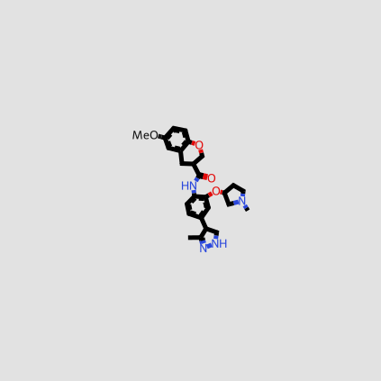 COc1ccc2c(c1)CC(C(=O)Nc1ccc(C3CNN=C3C)cc1OC1CCN(C)C1)CO2